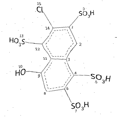 O=S(=O)(O)c1cc2c(S(=O)(=O)O)c(S(=O)(=O)O)cc(O)c2c(S(=O)(=O)O)c1Cl